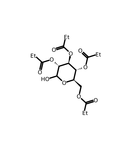 CCC(=O)OC[C@H]1OC(O)[C@H](OC(=O)CC)[C@@H](OC(=O)CC)[C@@H]1OC(=O)CC